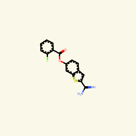 N=C(N)c1cc2ccc(OC(=O)c3ccccc3F)cc2s1